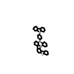 c1ccc2c(c1)N(c1ccc(-n3c4ccccc4c4ccccc43)cc1)c1cccc3c4ccc5oc6ccccc6c5c4n-2c13